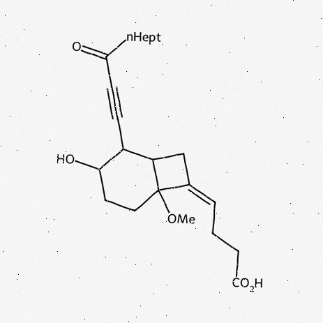 CCCCCCCC(=O)C#CC1C(O)CCC2(OC)C(=CCCC(=O)O)CC12